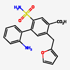 Nc1ccccc1-c1cc(Cc2ccco2)c(C(=O)O)cc1S(N)(=O)=O